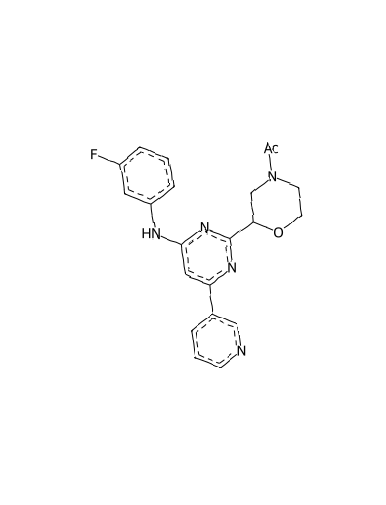 CC(=O)N1CCOC(c2nc(Nc3cccc(F)c3)cc(-c3cccnc3)n2)C1